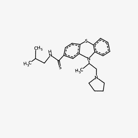 CC(C)CNC(=S)c1ccc2c(c1)N(C(C)CN1CCCC1)c1ccccc1S2